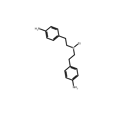 CCN(CCc1ccc(N)cc1)CCc1ccc(N)cc1